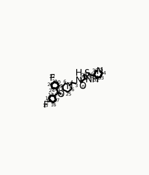 O=C(NCCN1CCC(OC(c2ccc(F)cc2)c2ccc(F)cc2)CC1)C1CSC(c2cccnc2)N1